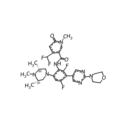 C[C@@H]1CN(c2cc(F)c(-c3cnc(N4CCOCC4)nc3)c(F)c2NC(=O)c2cn(C)c(=O)cc2C(F)F)C[C@H](C)N1C